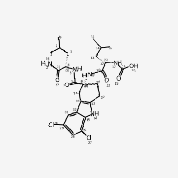 CC(C)C[C@H](NC(=O)[C@@]1(NC(=O)[C@H](CC(C)C)NC(=O)O)CCc2[nH]c3c(Cl)cc(Cl)cc3c2C1)C(N)=O